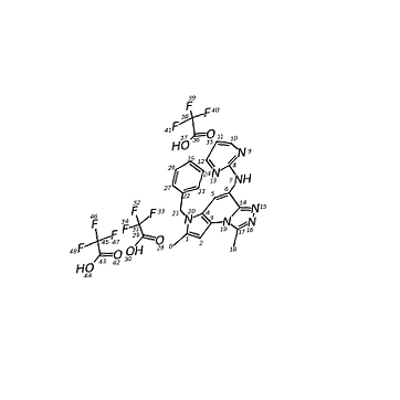 Cc1cc2c(cc(Nc3ncccn3)c3nnc(C)n32)n1Cc1ccccc1.O=C(O)C(F)(F)F.O=C(O)C(F)(F)F.O=C(O)C(F)(F)F